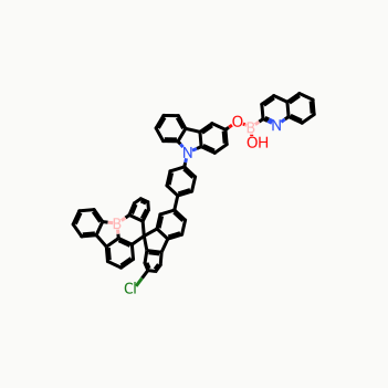 OB(Oc1ccc2c(c1)c1ccccc1n2-c1ccc(-c2ccc3c(c2)C2(c4ccccc4B4c5ccccc5-c5cccc2c54)c2cc(Cl)ccc2-3)cc1)c1ccc2ccccc2n1